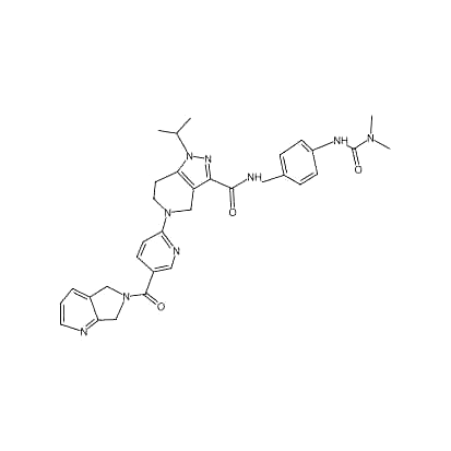 CC(C)n1nc(C(=O)NCc2ccc(NC(=O)N(C)C)cc2)c2c1CCN(c1ccc(C(=O)N3Cc4cccnc4C3)cn1)C2